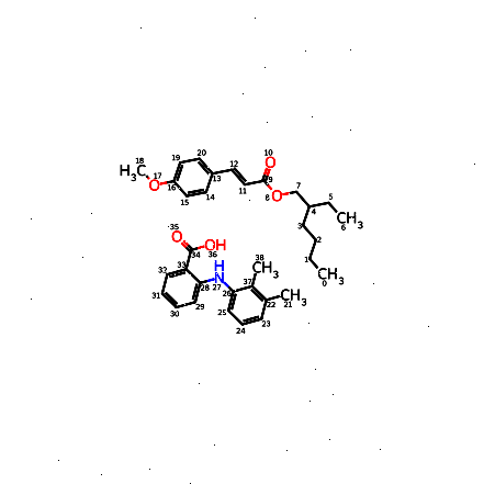 CCCCC(CC)COC(=O)/C=C/c1ccc(OC)cc1.Cc1cccc(Nc2ccccc2C(=O)O)c1C